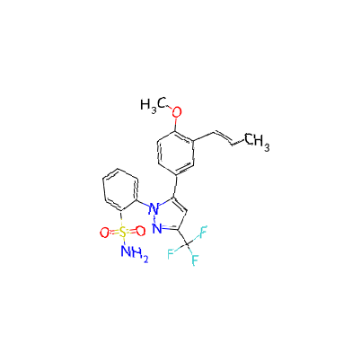 CC=Cc1cc(-c2cc(C(F)(F)F)nn2-c2ccccc2S(N)(=O)=O)ccc1OC